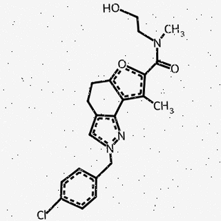 Cc1c(C(=O)N(C)CCO)oc2c1-c1nn(Cc3ccc(Cl)cc3)cc1CC2